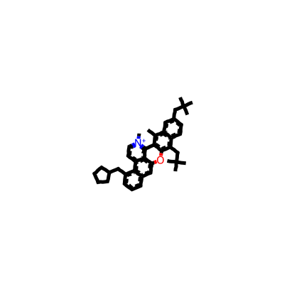 Cc1c2c(c(CC(C)(C)C)c3ccc(CC(C)(C)C)cc13)Oc1cc3cccc(CC4CCCC4)c3c3cc[n+](C)c-2c13